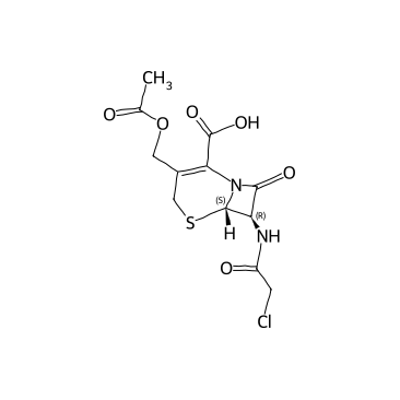 CC(=O)OCC1=C(C(=O)O)N2C(=O)[C@@H](NC(=O)CCl)[C@@H]2SC1